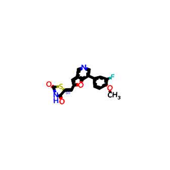 COc1ccc(-c2cncc3cc(/C=C4\SC(=O)NC4=O)oc23)cc1F